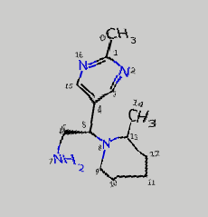 Cc1ncc([C@H](CN)N2CCCCC2C)cn1